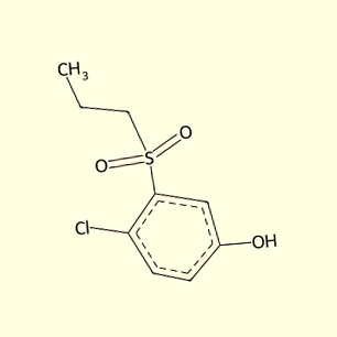 CCCS(=O)(=O)c1cc(O)ccc1Cl